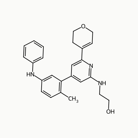 Cc1ccc(Nc2ccccc2)cc1-c1cc(NCCO)nc(C2=CCOCC2)c1